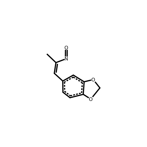 CC(=Cc1ccc2c(c1)OCO2)N=O